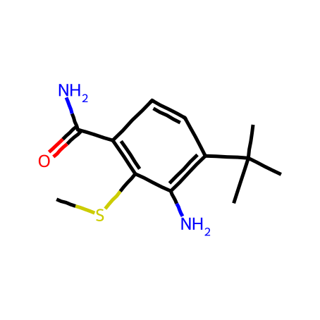 CSc1c(C(N)=O)ccc(C(C)(C)C)c1N